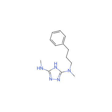 CNc1nnc(N(C)CCCc2ccccc2)[nH]1